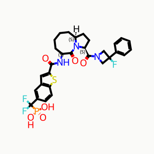 O=C(N[C@H]1CCCC[C@H]2CC[C@@H](C(=O)N3CC(F)(c4ccccc4)C3)N2C1=O)c1cc2cc(C(F)(F)P(=O)(O)O)ccc2s1